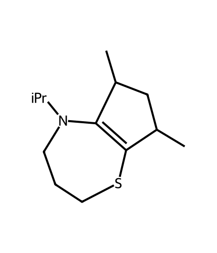 CC1CC(C)C2=C1SCCCN2C(C)C